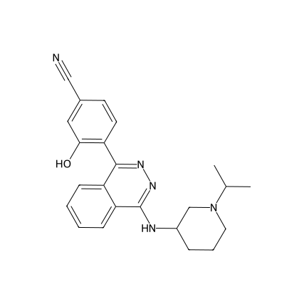 CC(C)N1CCCC(Nc2nnc(-c3ccc(C#N)cc3O)c3ccccc23)C1